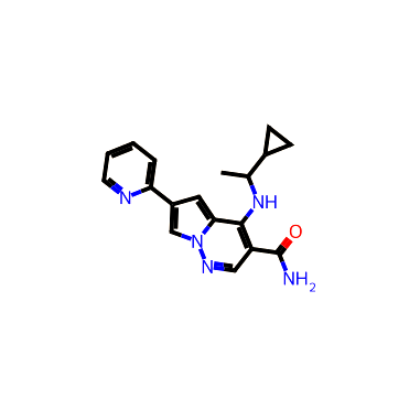 CC(Nc1c(C(N)=O)cnn2cc(-c3ccccn3)cc12)C1CC1